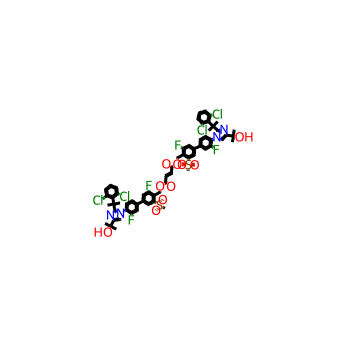 CC(C)(O)c1cn(-c2ccc(-c3cc(F)c(COC(=O)/C=C/C(=O)OCc4c(F)cc(-c5ccc(-n6cc(C(C)(C)O)nc6C(C)(C)c6c(Cl)cccc6Cl)c(F)c5)cc4S(C)(=O)=O)c(S(C)(=O)=O)c3)cc2F)c(C(C)(C)c2c(Cl)cccc2Cl)n1